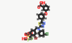 O=C(O)c1cccc(Oc2cccc(-c3nnc(N(Cc4ccc(C(F)(F)P(=O)(O)O)c(Br)c4)c4cccc(Cl)c4)s3)c2)c1